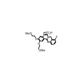 COCCOc1cc2c(cc1OCCOC)C1=Nc3cccc(F)c3CN1C=N2.CS(=O)(=O)O